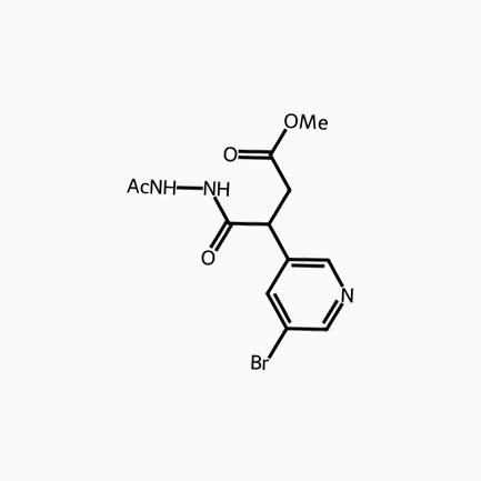 COC(=O)CC(C(=O)NNC(C)=O)c1cncc(Br)c1